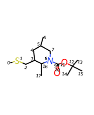 CSCC1CC(C)CN(C(=O)OC(C)(C)C)C1C